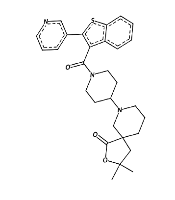 CC1(C)CC2(CCCN(C3CCN(C(=O)c4c(-c5cccnc5)sc5ccccc45)CC3)C2)C(=O)O1